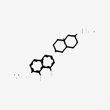 CCCCCCC1CCC2C[C@H](c3cc(F)c4c(F)c(OC)ccc4c3)CC[C@@H]2C1